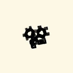 CC(C)(C)[Si](OCl)(c1ccccc1)c1ccccc1